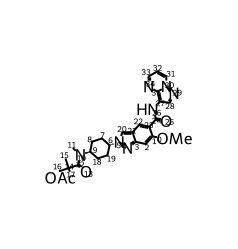 COc1cc2nn([C@H]3CC[C@H](N(C)C(=O)C(C)(C)OC(C)=O)CC3)cc2cc1C(=O)Nc1cnn2cccnc12